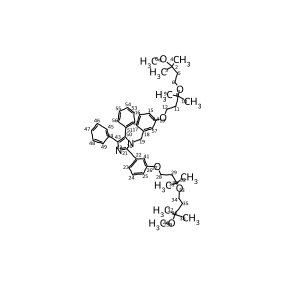 COC(C)(C)CCOC(C)(C)CCOc1cccc(Cn2c(-c3cccc(OCCC(C)(C)OCCC(C)(C)OC)c3)nc(-c3ccccc3)c2-c2ccccc2)c1